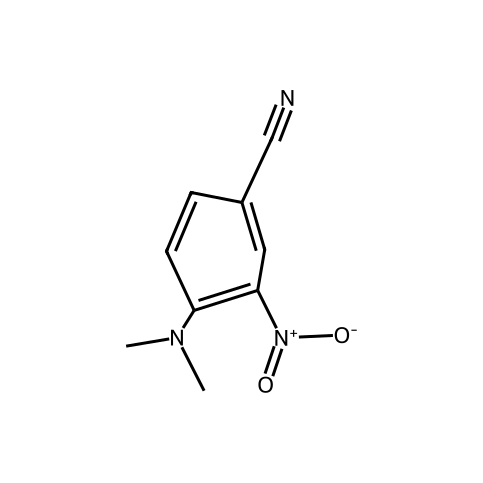 CN(C)c1ccc(C#N)cc1[N+](=O)[O-]